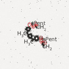 C=CC(=O)OC(CCCCC)Oc1ccc(C(C)c2ccc(C(C)c3ccc(OC(CCCCC)OC(=O)C=C)cc3)cc2)cc1